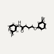 O=C(CCCOc1cccc(Br)c1)Nc1ccnc(F)c1